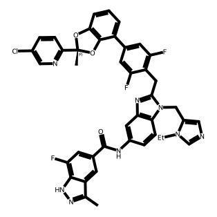 CCn1cncc1Cn1c(Cc2c(F)cc(-c3cccc4c3O[C@](C)(c3ccc(Cl)cn3)O4)cc2F)nc2cc(NC(=O)c3cc(F)c4[nH]nc(C)c4c3)ccc21